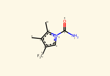 Cc1c(C(F)(F)F)cn(C(N)=O)c1C